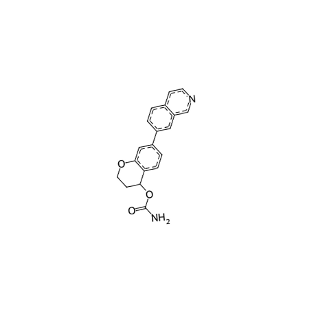 NC(=O)OC1CCOc2cc(-c3ccc4ccncc4c3)ccc21